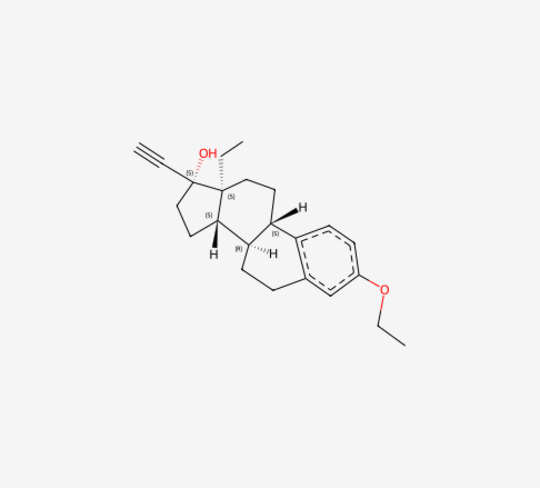 C#C[C@]1(O)CC[C@H]2[C@@H]3CCc4cc(OCC)ccc4[C@H]3CC[C@@]21CC